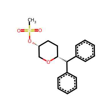 CS(=O)(=O)O[C@@H]1CC[C@H](C(c2ccccc2)c2ccccc2)OC1